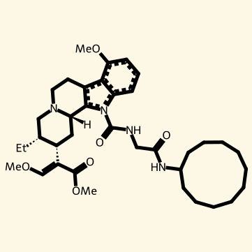 CC[C@@H]1CN2CCc3c(n(C(=O)NCC(=O)NC4CCCCCCCCCC4)c4cccc(OC)c34)[C@@H]2C[C@@H]1/C(=C\OC)C(=O)OC